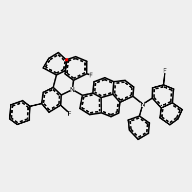 Fc1cc(N(c2ccccc2)c2ccc3ccc4c(N(c5ccccc5F)c5c(F)cc(-c6ccccc6)cc5-c5ccccc5)ccc5ccc2c3c54)c2ccccc2c1